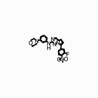 CS(=O)(=O)c1ccc(-c2ccc3cnc(Nc4cccc(N5CCOCC5)c4)nn23)cc1F